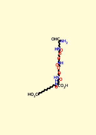 N[C@H](C=O)CCCCNC(=O)COCCOCCNC(=O)COCCOCCNC(=O)CC[C@H](NC(=O)CCCCCCCCCCCCC(=O)O)C(=O)O